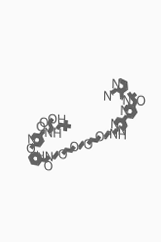 CC(C)(C)CC[C@H](NC(=O)c1ccc(Oc2cccc(C(=O)NCCOCCOCCOCCOCCNc3ncc(-c4ccc5c(n4)N(Cc4cccnc4C#N)C(C)(C)C5=O)cn3)c2)nc1)C(=O)O